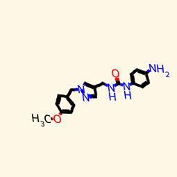 COc1ccc(Cn2cc(CNC(=O)Nc3ccc(N)cc3)cn2)cc1